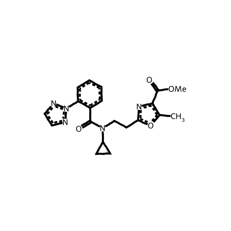 COC(=O)c1nc(CCN(C(=O)c2ccccc2-n2nccn2)C2CC2)oc1C